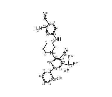 N#Cc1ccc(NC2CCCN(c3nc(-c4ccccc4Cl)cc(C(F)(F)F)c3C#N)C2)nc1N